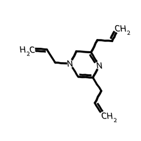 C=CCC1=CN(CC=C)CC(CC=C)=N1